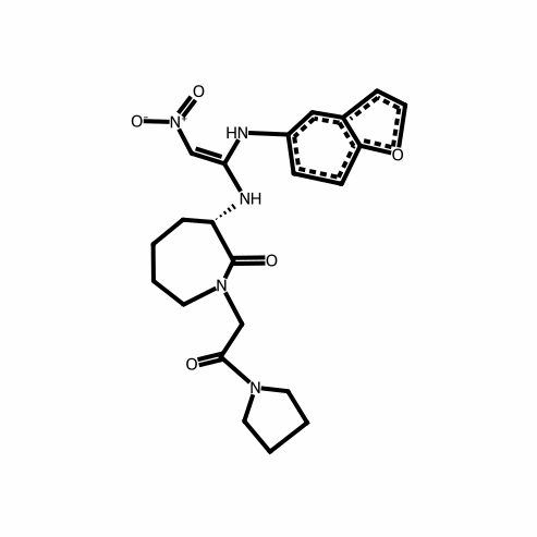 O=C(CN1CCCC[C@H](NC(=C[N+](=O)[O-])Nc2ccc3occc3c2)C1=O)N1CCCC1